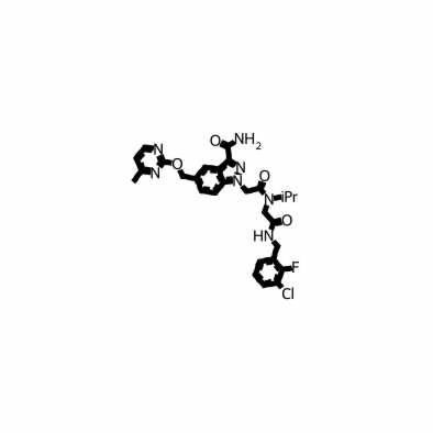 Cc1ccnc(OCc2ccc3c(c2)c(C(N)=O)nn3CC(=O)N(CC(=O)NCc2cccc(Cl)c2F)C(C)C)n1